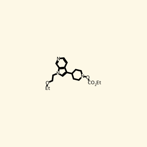 CCOCCn1cc(C2CCN(OC(=O)OCC)CC2)c2ccncc21